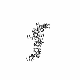 CNC(=O)c1ccc(-c2cn3ncc(C(=O)Nc4cc(NC(=O)CN5C6CCC5CC6)cnc4C)c3cn2)cc1F